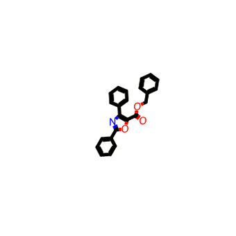 O=C(OCc1ccccc1)c1oc(-c2ccccc2)nc1-c1ccccc1